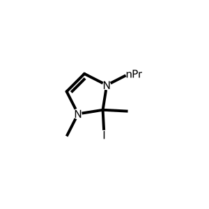 CCCN1C=CN(C)C1(C)I